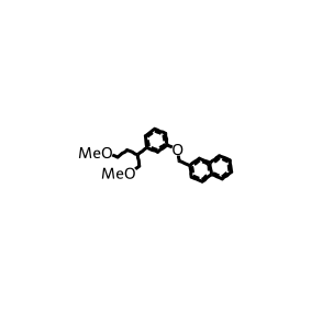 COCCC(COC)c1cccc(OCc2ccc3ccccc3c2)c1